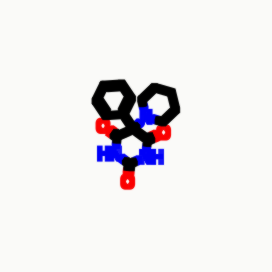 O=C1NC(=O)C(c2ccccc2)(N2CCCCC2)C(=O)N1